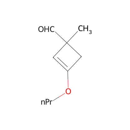 CCCOC1=CC(C)(C=O)C1